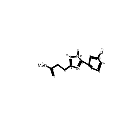 C=C(CCc1nc(-c2cccc(Cl)c2)n(C)n1)OC